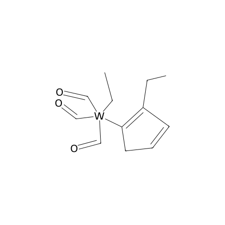 CCC1=[C]([W]([CH]=O)([CH]=O)([CH]=O)[CH2]C)CC=C1